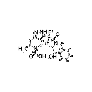 C[C@@H]1Cc2n[nH]c(C(F)(F)C(=O)N(CCO)Cc3ccccc3)c2CN1C(=O)O